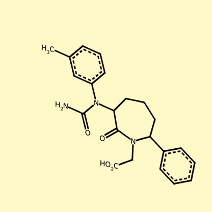 Cc1cccc(N(C(N)=O)C2CCCC(c3ccccc3)N(CC(=O)O)C2=O)c1